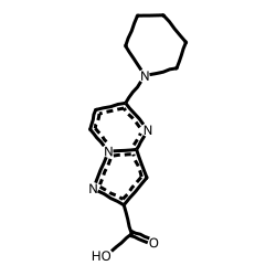 O=C(O)c1cc2nc(N3CCCCC3)ccn2n1